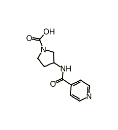 O=C(NC1CCN(C(=O)O)C1)c1ccncc1